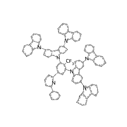 FC(F)(F)c1c(-n2c3ccc(-n4c5ccccc5c5ccccc54)cc3c3cc(-n4c5ccccc5c5ccccc54)ccc32)cc(-c2cccc(-c3ccccc3)n2)cc1-n1c2ccc(-n3c4ccccc4c4ccccc43)cc2c2cc(-n3c4ccccc4c4ccccc43)ccc21